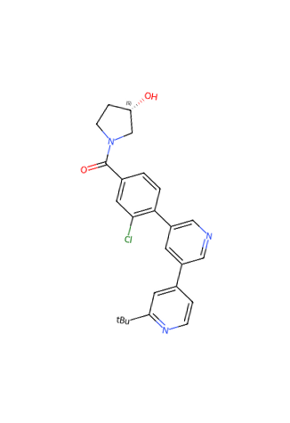 CC(C)(C)c1cc(-c2cncc(-c3ccc(C(=O)N4CC[C@H](O)C4)cc3Cl)c2)ccn1